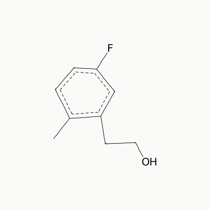 Cc1ccc(F)cc1CCO